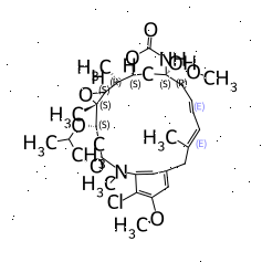 COc1cc2cc(c1Cl)N(C)C(=O)C[C@H](OC(C)C)[C@]1(C)O[C@H]1[C@H](C)[C@@H]1C[C@@](O)(NC(=O)O1)[C@H](OC)/C=C/C=C(\C)C2